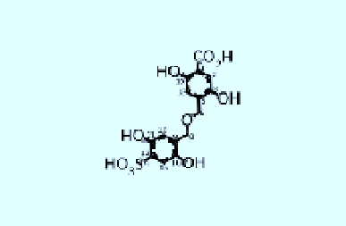 O=C(O)c1cc(O)c(COCc2cc(O)c(S(=O)(=O)O)cc2O)cc1O